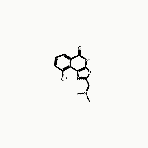 CN(C)Cc1nc2c([nH]c(=O)c3cccc(O)c32)s1